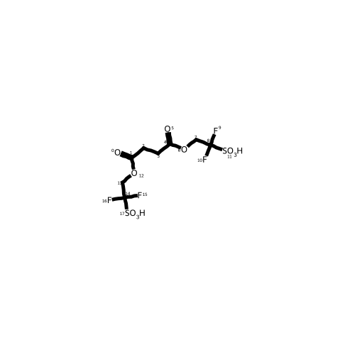 O=C(CCC(=O)OCC(F)(F)S(=O)(=O)O)OCC(F)(F)S(=O)(=O)O